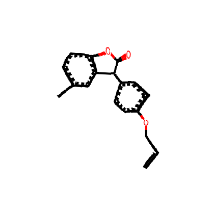 C=CCOc1ccc(C2C(=O)Oc3ccc(C)cc32)cc1